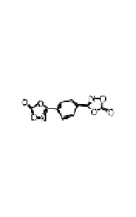 O=c1onc(-c2ccc(-c3noc(=O)o3)cc2)o1